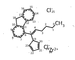 CCCCC=C(c1cccc2c1-c1ccccc1C2)C1C=CC=C1.[Cl-].[Cl-].[Zr+2]